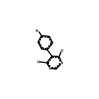 Clc1ncnc(Cl)c1-c1ccc(Br)cc1